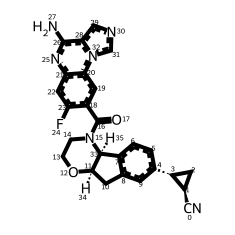 N#C[C@@H]1C[C@H]1c1ccc2c(c1)C[C@H]1OCCN(C(=O)c3cc4c(cc3F)nc(N)c3cncn34)[C@@H]21